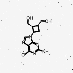 Nc1nc(Cl)c2ncn([C@@H]3C[C@H](CO)[C@@H]3CO)c2n1